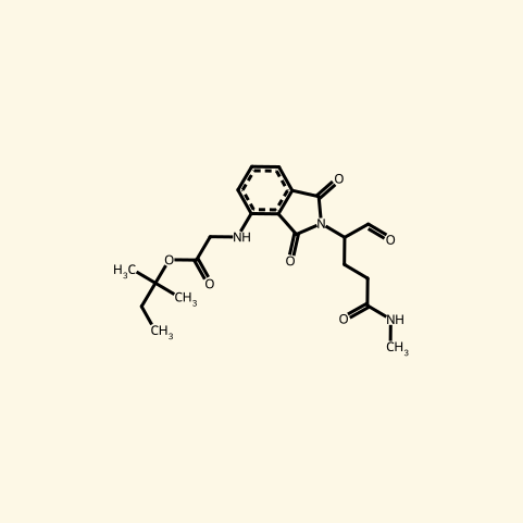 CCC(C)(C)OC(=O)CNc1cccc2c1C(=O)N(C(C=O)CCC(=O)NC)C2=O